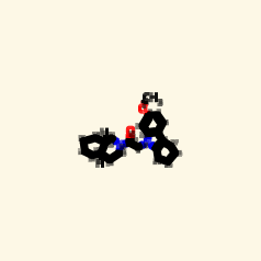 COc1ccc2c3c(n(CC(=O)N4CC[C@H]5CCCC[C@H]5C4)c2c1)CCCC3